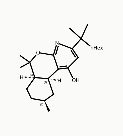 CCCCCCC(C)(C)c1cc(O)c2c(n1)OC(C)(C)[C@@H]1CC[C@H](C)C[C@H]21